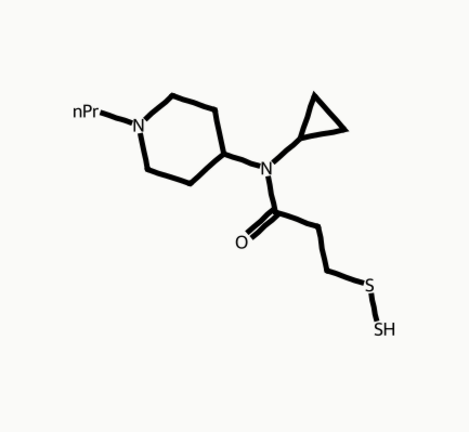 CCCN1CCC(N(C(=O)CCSS)C2CC2)CC1